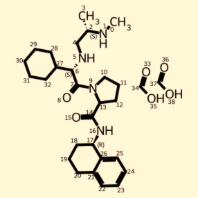 CN[C@@H](C)CN[C@H](C(=O)N1CCCC1C(=O)N[C@@H]1CCCc2ccccc21)C1CCCCC1.O=CO.O=CO